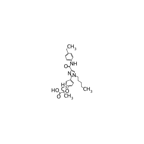 CCCCCn1cc(C(=O)Nc2ccc(CC)cc2)nc1-c1ccc(OC(C)(C)C(=O)O)cc1